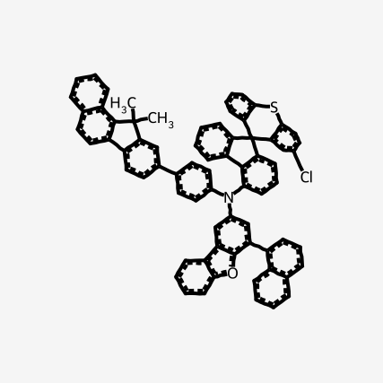 CC1(C)c2cc(-c3ccc(N(c4cc(-c5cccc6ccccc56)c5oc6ccccc6c5c4)c4cccc5c4-c4ccccc4C54c5ccccc5Sc5ccc(Cl)cc54)cc3)ccc2-c2ccc3ccccc3c21